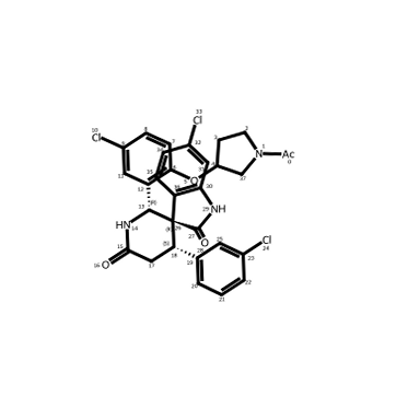 CC(=O)N1CCC(Oc2ccc(Cl)cc2[C@H]2NC(=O)C[C@@H](c3cccc(Cl)c3)[C@]23C(=O)Nc2cc(Cl)ccc23)C1